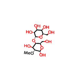 CO[C@@H]1[C@@H](O)[C@@H](O[C@H]2O[C@H](CO)[C@H](O)[C@H](O)[C@H]2O)[C@@H](CO)O[C@@H]1O